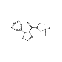 O=C([C@H]1N=CO[C@@H]1c1ccncc1)N1CCC(F)(F)C1